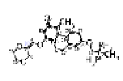 Cc1c2n(c(O/C=C3\COCCO3)cc1=O)CCc1cc(OCC(C)(P)P)ccc1-2